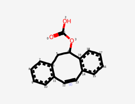 O=C(O)OC1Cc2ccccc2/C=C\c2ccccc21